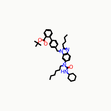 CCCCCCN(C(=O)NC1CCCCC1)c1ccc2nc(CCCC)n(Cc3ccc(-c4ccccc4C(=O)OC(C)(C)C)cc3)c2c1